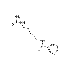 NC(=O)NCCCCCNC(=O)c1ccccn1